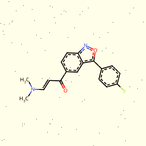 CN(C)C=CC(=O)c1ccc2noc(-c3ccc(F)cc3)c2c1